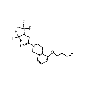 O=C(OC(C(F)(F)F)C(F)(F)F)N1CCc2c(cccc2OCCCF)C1